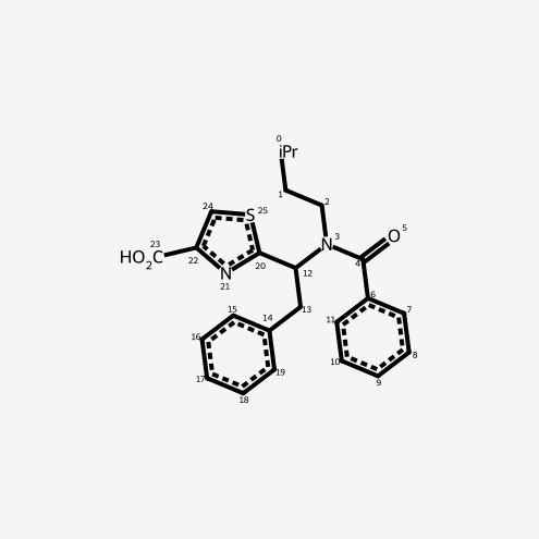 CC(C)CCN(C(=O)c1ccccc1)C(Cc1ccccc1)c1nc(C(=O)O)cs1